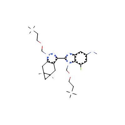 CNc1cc(F)c2c(c1)nc(-c1nn(COCC[Si](C)(C)C)c3c1C[C@@H]1C[C@]1(C)C3)n2COCC[Si](C)(C)C